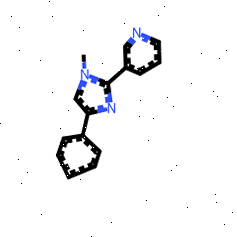 Cn1cc(-c2ccccc2)nc1-c1cccnc1